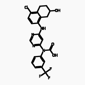 O=C(O)N(c1cccc(C(F)(F)F)c1)c1cc(Nc2ccc(Cl)c3c2CC(O)CC3)ncn1